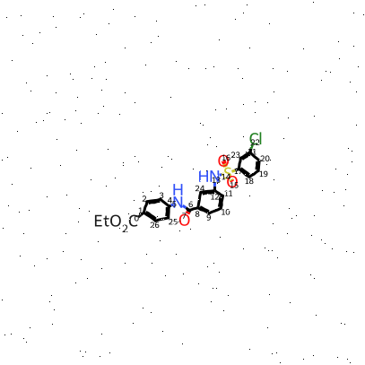 CCOC(=O)c1ccc(NC(=O)c2cccc(NS(=O)(=O)c3cccc(Cl)c3)c2)cc1